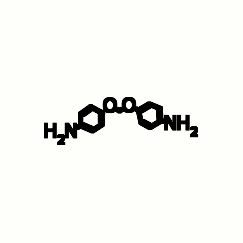 Nc1ccc(OCOc2ccc(N)cc2)cc1